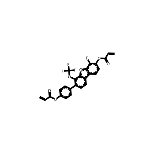 C=CC(=O)Oc1ccc(-c2ccc3c(oc4c(F)c(OC(=O)C=C)ccc43)c2OC(F)(F)F)cc1